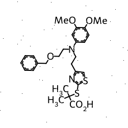 COc1ccc(N(CCOCc2ccccc2)CCc2csc(SC(C)(C)C(=O)O)n2)cc1OC